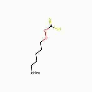 CCCCCCCCCCCOOC(=S)S